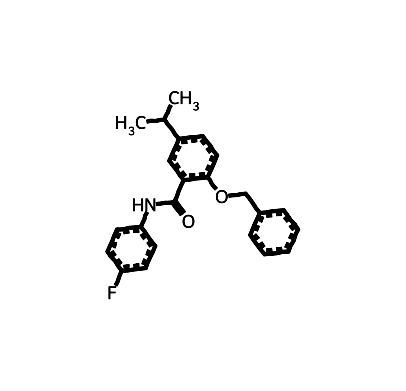 CC(C)c1ccc(OCc2ccccc2)c(C(=O)Nc2ccc(F)cc2)c1